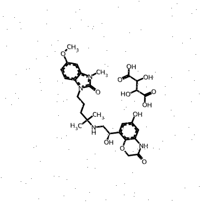 COc1ccc2c(c1)n(C)c(=O)n2CCCC(C)(C)NC[C@H](O)c1cc(O)cc2c1OCC(=O)N2.O=C(O)C(O)C(O)C(=O)O